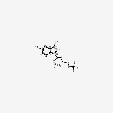 C[SiH](C)OC(CCCCC(C)(C)C)n1nc(I)c2cc(F)ccc21